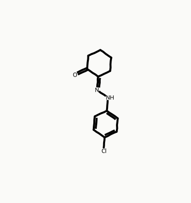 O=C1CCCC/C1=N\Nc1ccc(Cl)cc1